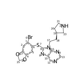 Brc1cc2c(cc1Sc1nc3cncnc3n1CC[C@H]1CCNC1)OCO2